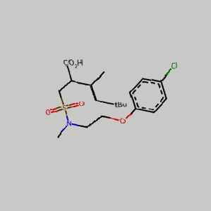 CC(CC(C)(C)C)C(CS(=O)(=O)N(C)CCOc1ccc(Cl)cc1)C(=O)O